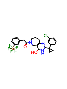 O=C(Cc1cccc(S(F)(F)(F)(F)F)c1)N1CCCC2=C(C1)C(O)NC(C1(c3cccc(Cl)c3)CC1)=N2